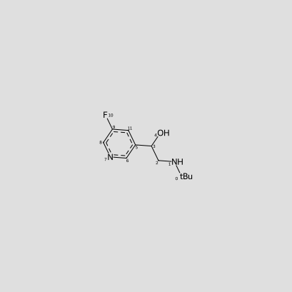 CC(C)(C)NCC(O)c1cncc(F)c1